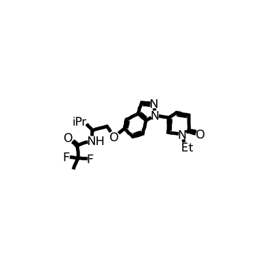 CCn1cc(-n2ncc3cc(OCC(NC(=O)C(C)(F)F)C(C)C)ccc32)ccc1=O